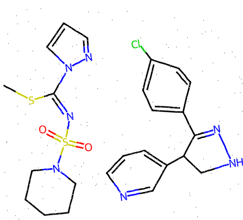 CSC(=NS(=O)(=O)N1CCCCC1)n1cccn1.Clc1ccc(C2=NNCC2c2cccnc2)cc1